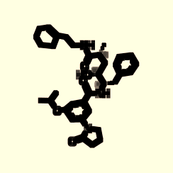 CC(C)Oc1cc(C(=O)N[C@@H](Cc2ccccc2)[C@H](O)C[C@@H](C)C(=O)NCCC2=CCCCC2)cc(N2CCCC2=O)c1